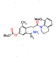 COc1cccc2c1N(C(=O)[C@H](N)Cc1c(C)cc(OC(=O)OCC(C)C)cc1C)CCC2